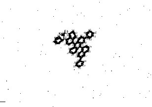 CCc1nc2ccccc2n1-c1ccc(-c2c3ccccc3c(-c3cccc4cc(-c5ccccc5)ccc34)c3cc(-c4ccccc4)ccc23)c2ccccc12